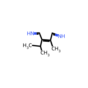 C/C(C=N)=C(/C=N)C(C)C